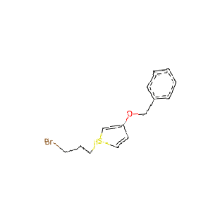 BrCCC[SH]1C=CC(OCc2ccccc2)=C1